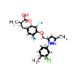 Cc1cc(COc2c(F)cc(CC(C)C(=O)O)cc2F)n(-c2ccc(C)c(Cl)c2)n1